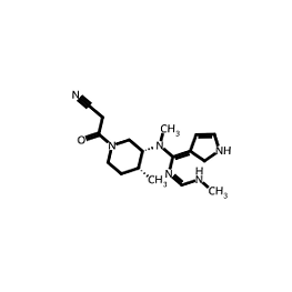 CN/C=N\C(=C1\C=CNC1)N(C)[C@H]1CN(C(=O)CC#N)CC[C@H]1C